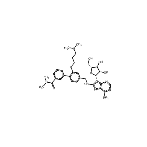 CN(C)CCCOc1cc(CNc2nc3c(N)ncnc3n2[C@@H]2O[C@H](CO)[C@@H](O)[C@H]2O)ccc1-c1cccc(C(=O)N(C)C)c1